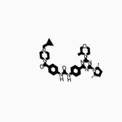 CC1COCCN1c1nc(-c2ccc(NC(=O)Nc3ccc(C(=O)N4CCN(CC5CC5)CC4)cc3)cc2)nc(N2[C@H](C)CC[C@@H]2C)n1